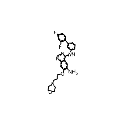 Nc1cc2c(Nc3cccc(-c4ccc(F)cc4F)c3)ncnc2cc1OCCCN1CCOCC1